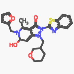 CC1=c2c(n(CC3CCCOC3)n(-c3nc4ccccc4s3)c2=O)=CC(O)N1Cc1ccco1